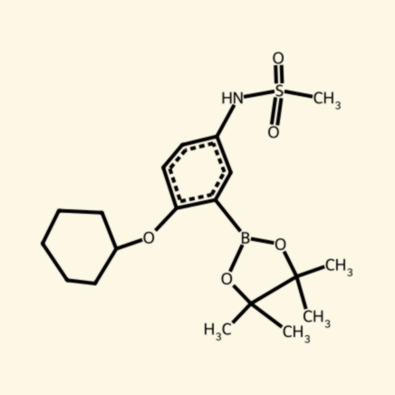 CC1(C)OB(c2cc(NS(C)(=O)=O)ccc2OC2CCCCC2)OC1(C)C